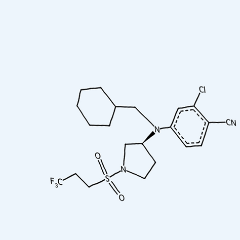 N#Cc1ccc(N(CC2CCCCC2)[C@H]2CCN(S(=O)(=O)CCC(F)(F)F)C2)cc1Cl